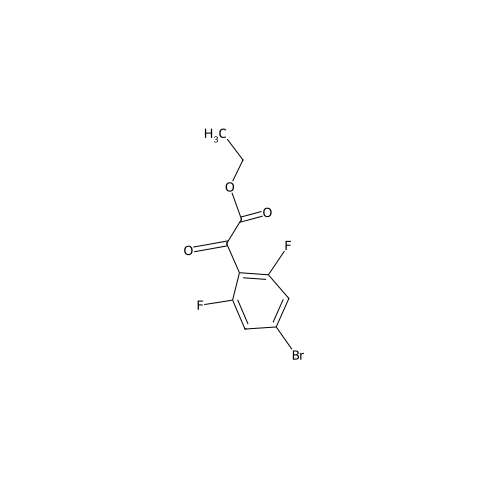 CCOC(=O)C(=O)c1c(F)cc(Br)cc1F